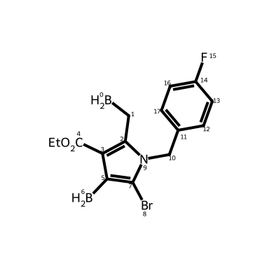 BCc1c(C(=O)OCC)c(B)c(Br)n1Cc1ccc(F)cc1